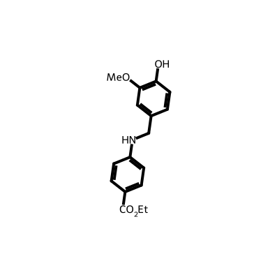 CCOC(=O)c1ccc(NCc2ccc(O)c(OC)c2)cc1